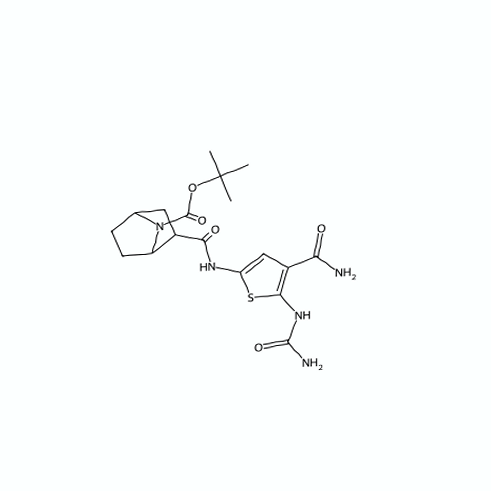 CC(C)(C)OC(=O)N1C2CCC1C(C(=O)Nc1cc(C(N)=O)c(NC(N)=O)s1)C2